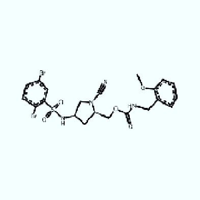 COc1ccccc1CNC(=O)OC[C@H]1C[C@@H](NS(=O)(=O)c2cc(Br)ccc2Br)CN1C#N